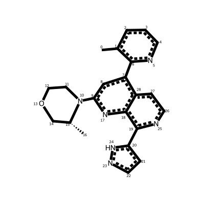 Cc1cccnc1-c1cc(N2CCOC[C@H]2C)nc2c(-c3ccn[nH]3)nccc12